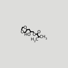 C=C(C)C(=O)OCC(O)CC1COCCO1